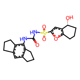 O=C(Nc1c2c(cc3c1CCC3)CCC2)NS(=O)(=O)c1cc2c(o1)CCC[C@H]2O